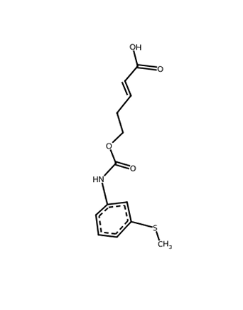 CSc1cccc(NC(=O)OCCC=CC(=O)O)c1